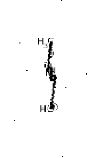 CCCCCOCCCCOc1cnc(-c2ccc(CCCCCCCC/C=C/C(=O)O)cc2)nc1